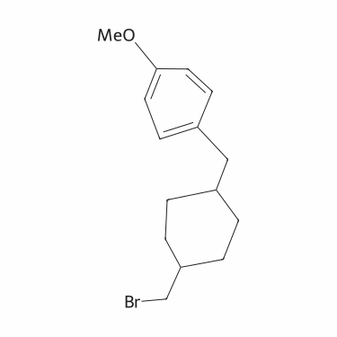 COc1ccc(CC2CCC(CBr)CC2)cc1